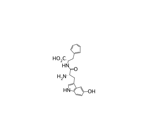 N[C@@H](Cc1c[nH]c2ccc(O)cc12)C(=O)N[C@@H](Cc1ccccc1)C(=O)O